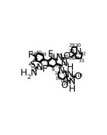 Nc1nc2c(-c3c(F)cc4c(N5CCCC6(C5)NC(=O)NC6=O)nc(OCC56CCCN5CCC6)nc4c3F)ccc(F)c2s1